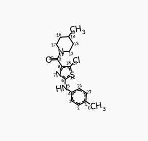 Cc1ccc(Nc2nc(C(=O)N3CCC(C)CC3)c(Cl)s2)cc1